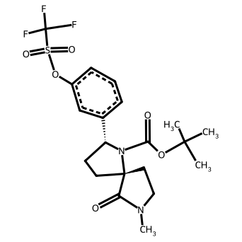 CN1CC[C@]2(CC[C@H](c3cccc(OS(=O)(=O)C(F)(F)F)c3)N2C(=O)OC(C)(C)C)C1=O